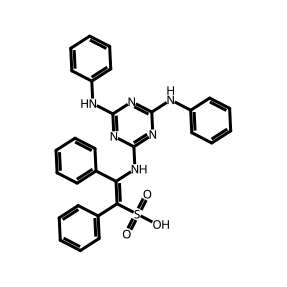 O=S(=O)(O)C(=C(Nc1nc(Nc2ccccc2)nc(Nc2ccccc2)n1)c1ccccc1)c1ccccc1